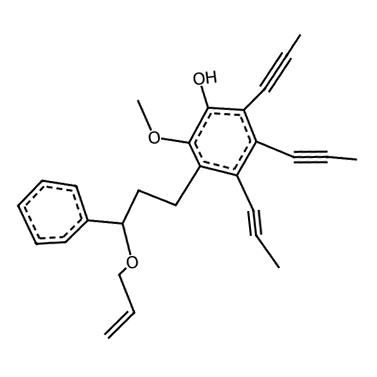 C=CCOC(CCc1c(C#CC)c(C#CC)c(C#CC)c(O)c1OC)c1ccccc1